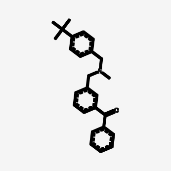 CN(Cc1ccc(C(C)(C)C)cc1)Cc1cccc(C(=O)c2ccccc2)c1